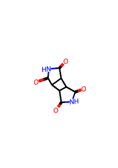 O=C1NC(=O)C2C1C1C(=O)NC(=O)C21